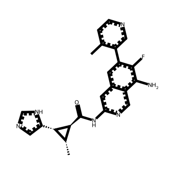 Cc1ccncc1-c1cc2cc(NC(=O)[C@H]3[C@H](C)[C@@H]3c3cnc[nH]3)ncc2c(N)c1F